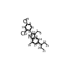 CCc1c(-c2ccc(OC)cc2Cl)nc2c(C)cc(C(CC)CC)cn12